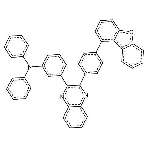 c1ccc(N(c2ccccc2)c2cccc(-c3nc4ccccc4nc3-c3ccc(-c4cccc5oc6ccccc6c45)cc3)c2)cc1